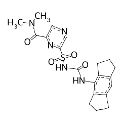 CN(C)C(=O)c1cncc(S(=O)(=O)NC(=O)Nc2c3c(cc4c2CCC4)CCC3)n1